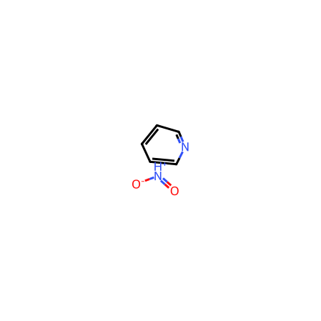 O=[NH+][O-].c1ccncc1